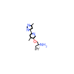 Cc1cc(-c2cc(C)c(OC[C@@](C)(N)CC(C)C)cn2)ncn1